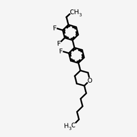 CCCCCCC1CCC(c2ccc(-c3ccc(CC)c(F)c3F)c(F)c2)CO1